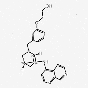 OCCOc1cccc(CN2C[C@H]3C[C@H](Nc4cccc5cnccc45)[C@@H]2C3)c1